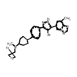 CCC1(CN(C)C2CCC(c3ccc(-c4n[nH]c(-c5cc(C)c6ncnn6c5)c4C(C)C)cc3)CC2)COC1